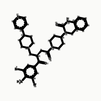 Nc1c(Br)cc(C(=O)[C@H](CC(=O)N2CCC(N3Cc4ccccc4NC3=O)CC2)CN2CCC(c3ccncc3)CC2)cc1Br